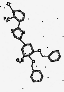 O=[N+]([O-])c1cc(-c2csc(-c3ccc[n+]([O-])c3C(F)(F)F)n2)cc(OCc2ccccc2)c1OCc1ccccc1